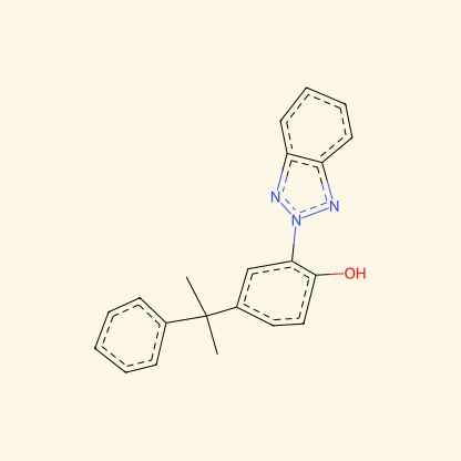 CC(C)(c1ccccc1)c1ccc(O)c(-n2nc3ccccc3n2)c1